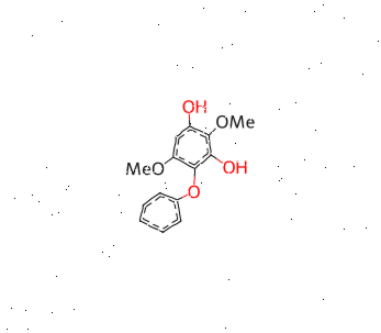 COc1cc(O)c(OC)c(O)c1Oc1ccccc1